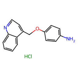 Cl.Nc1ccc(OCc2ccnc3ccccc23)cc1